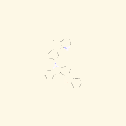 N#Cc1cccnc1-c1cccc(-n2c3ccccc3c3c4oc5ccccc5c4ccc32)c1